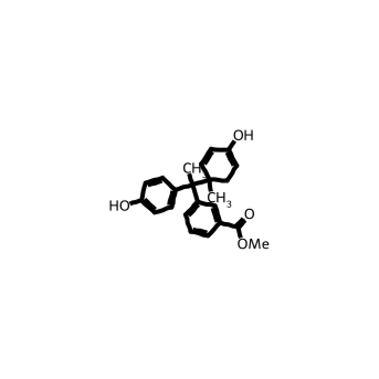 COC(=O)c1cccc(C(C)(c2ccc(O)cc2)C2(C)C=CC(O)=CC2)c1